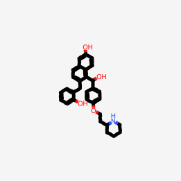 Oc1ccc2c(C(O)c3ccc(OCCC4CCCCN4)cc3)c(Cc3ccccc3O)ccc2c1